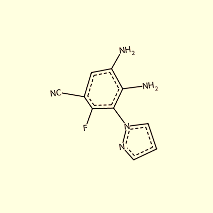 N#Cc1cc(N)c(N)c(-n2cccn2)c1F